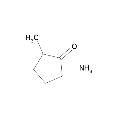 CC1CCCC1=O.N